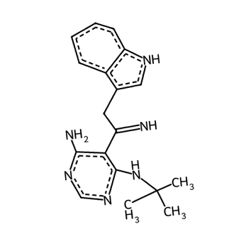 CC(C)(C)Nc1ncnc(N)c1C(=N)Cc1c[nH]c2ccccc12